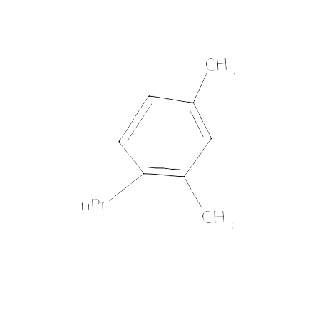 CC[CH]c1ccc(C)cc1C